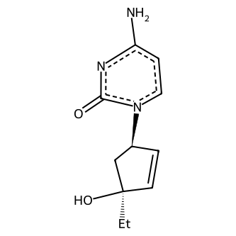 CC[C@@]1(O)C=C[C@H](n2ccc(N)nc2=O)C1